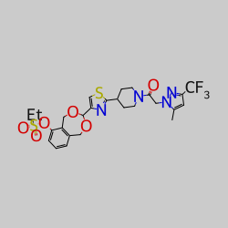 CCS(=O)(=O)Oc1cccc2c1COC(c1csc(C3CCN(C(=O)Cn4nc(C(F)(F)F)cc4C)CC3)n1)OC2